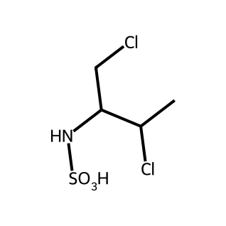 CC(Cl)C(CCl)NS(=O)(=O)O